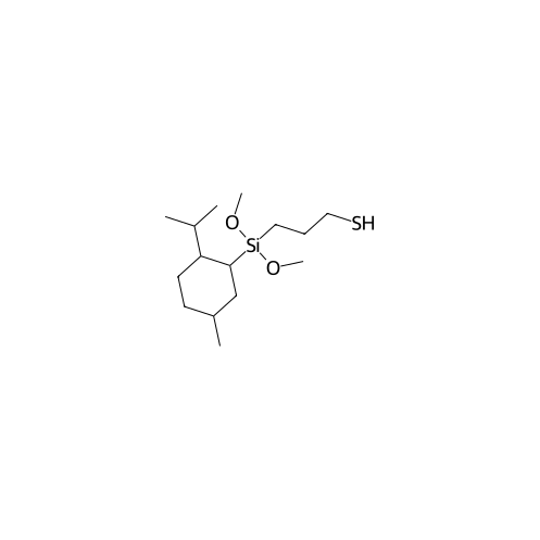 CO[Si](CCCS)(OC)C1CC(C)CCC1C(C)C